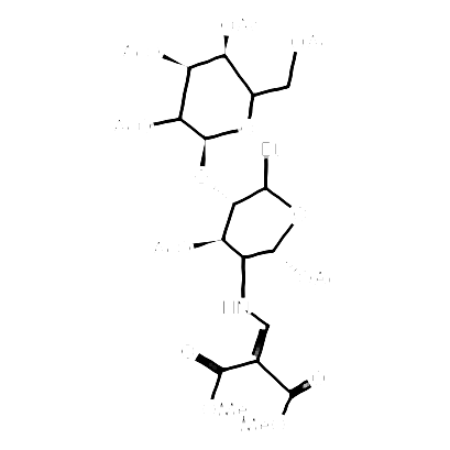 CCC1O[C@H](OC(C)=O)C(NC=C(C(=O)OC)C(=O)OC)[C@@H](OC(C)=O)[C@@H]1O[C@@H]1OC(COC(C)=O)[C@H](OC(C)=O)[C@H](OC(C)=O)C1OC(C)=O